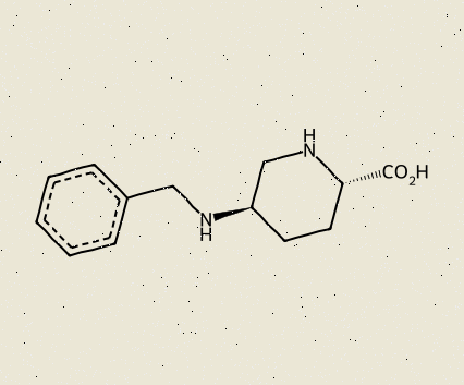 O=C(O)[C@@H]1CC[C@@H](NCc2ccccc2)CN1